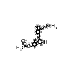 CCO[C@H](C)COCc1ccc2c(c1)CO[C@@]21CCNC[C@@H]1OCc1ccc2c(c1)N(CCCOC)CCO2